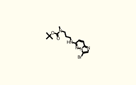 CN(CCCNc1ccc2ncc(Br)n2n1)C(=O)OC(C)(C)C